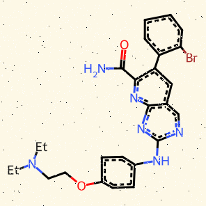 CCN(CC)CCOc1ccc(Nc2ncc3cc(-c4ccccc4Br)c(C(N)=O)nc3n2)cc1